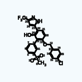 CS(=O)(=O)c1cccc(-c2c(OCc3ccc(Cl)cc3)ccc(-c3cc(C(F)(F)F)n[nH]3)c2O)c1